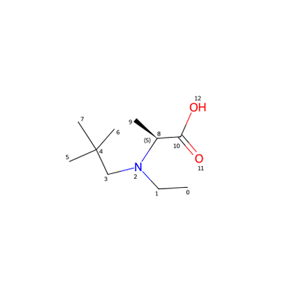 CCN(CC(C)(C)C)[C@@H](C)C(=O)O